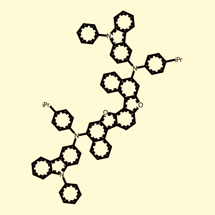 CC(C)c1ccc(N(c2ccc3c(c2)c2ccccc2n3-c2ccccc2)c2cc3oc4c(ccc5oc6cc(N(c7ccc(C(C)C)cc7)c7ccc8c(c7)c7ccccc7n8-c7ccccc7)c7ccccc7c6c54)c3c3ccccc23)cc1